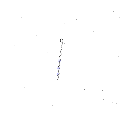 CC/C=C/C/C=C/C/C=C/CCCCC[C]=O